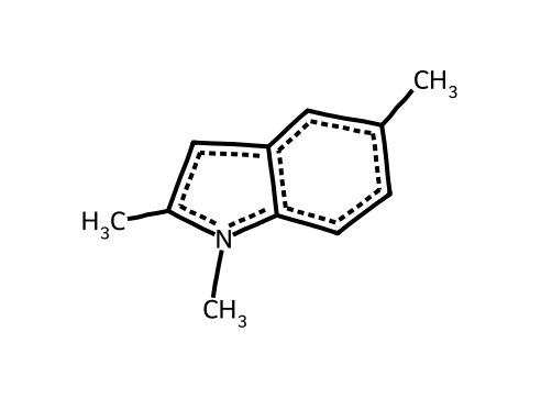 Cc1ccc2c(c1)cc(C)n2C